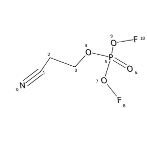 N#CCCOP(=O)(OF)OF